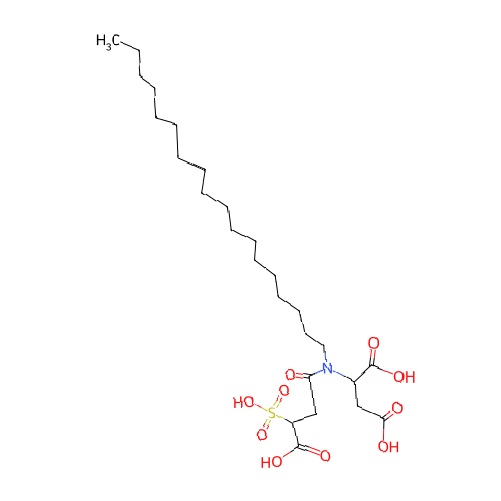 CCCCCCCCCCCCCCCCCCN(C(=O)CC(C(=O)O)S(=O)(=O)O)C(CC(=O)O)C(=O)O